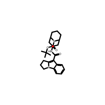 CC(C)(C)OC(=O)N1C2CCCC1CC(NC(=O)c1c3n(c4ccccc14)CCC3)C2